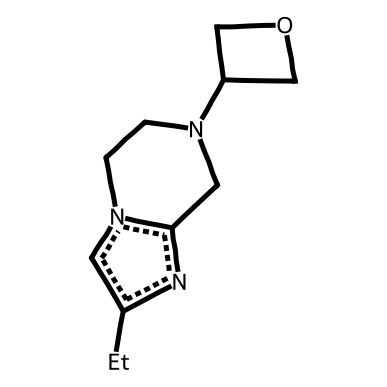 CCc1cn2c(n1)CN(C1COC1)CC2